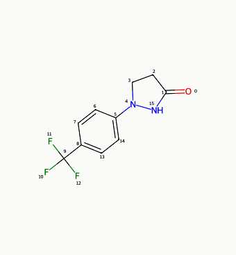 O=C1CCN(c2ccc(C(F)(F)F)cc2)N1